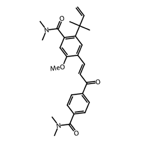 C=CC(C)(C)c1cc(C=CC(=O)c2ccc(C(=O)N(C)C)cc2)c(OC)cc1C(=O)N(C)C